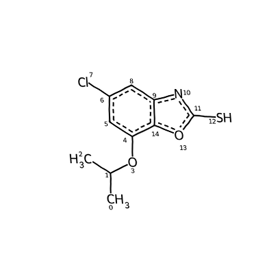 CC(C)Oc1cc(Cl)cc2nc(S)oc12